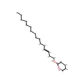 CCCCCCCCCCCCC=CCCOC1CCCCO1